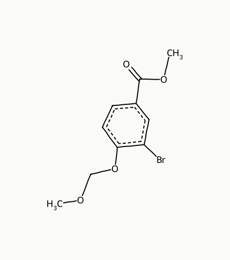 COCOc1ccc(C(=O)OC)cc1Br